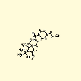 C=C1N(C(C)(C)C)C(=O)OC12CCN(C(=O)N1CCN(CCO)CC1)CC2